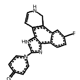 O=c1ccn(-c2nc3c([nH]2)c2c(c4cc(F)ccc43)CNC=C2)cc1